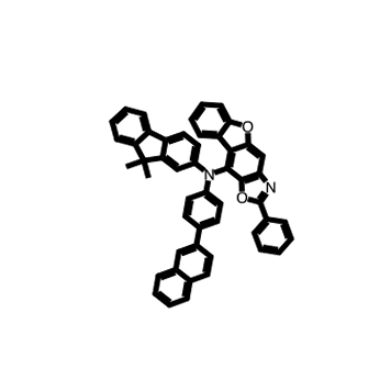 CC1(C)c2ccccc2-c2ccc(N(c3ccc(-c4ccc5ccccc5c4)cc3)c3c4oc(-c5ccccc5)nc4cc4oc5ccccc5c34)cc21